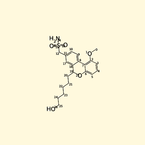 COc1cccc2c1-c1ccc(CS(N)(=O)=O)cc1C(CCCCCCO)O2